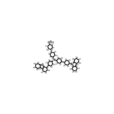 CCCCc1ccc(-c2ccc(N(c3ccc(-c4ccc(-n5c6ccccc6c6ccccc65)cc4)cc3)c3ccc(-c4cccc5c4sc4ccccc45)cc3)cc2)cc1